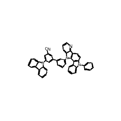 N#Cc1cc(-c2cccc(-n3c4cccnc4c4ccc5c(c6ccccc6n5-c5ccccc5)c43)c2)cc(-n2c3ccccc3c3ccccc32)c1